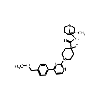 COCc1ccc(-c2ccnc(N3CCC(F)(C(=O)N[C@]4(C)CN5CCC4CC5)CC3)n2)cc1